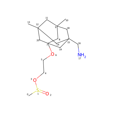 CS(=O)OCCOC12CC3(C)CC(C)(CC(CN)(C3)C1)C2